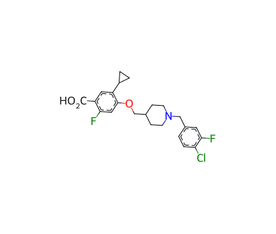 O=C(O)c1cc(C2CC2)c(OCC2CCN(Cc3ccc(Cl)c(F)c3)CC2)cc1F